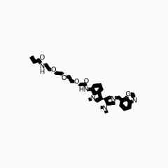 C=CC(=O)NCCOCCOCCOCC(=O)Nc1cccc2c([C@H]3CN(Cc4cccc5ncoc45)C[C@@H]3N(C)C)cn(C)c12